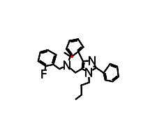 CCCCn1c(-c2ccccc2)nc(-c2ccccc2)c1CN(CC)Cc1ccccc1F